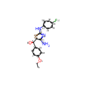 CCOc1ccc(C(=O)c2sc(Nc3ccc(F)cc3)nc2N)cc1